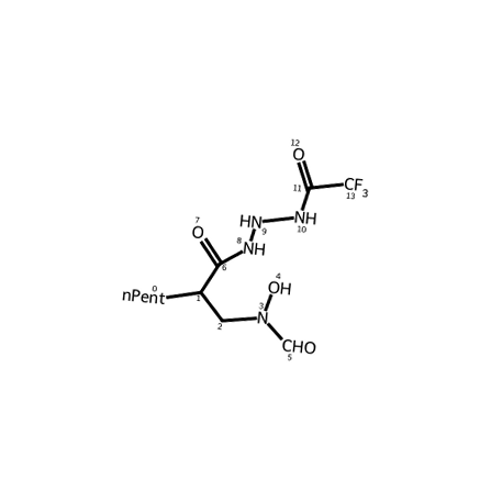 CCCCCC(CN(O)C=O)C(=O)NNNC(=O)C(F)(F)F